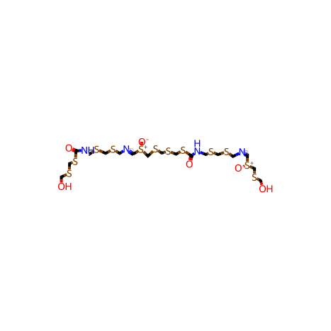 O=C(NCSCSC/N=C/[S+]([O-])CSCSCSC(=O)NCSCSC/N=C\[S+]([O-])CSCO)SCSCO